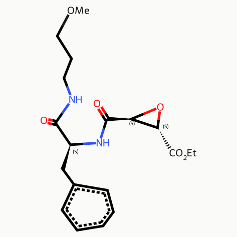 CCOC(=O)[C@H]1O[C@@H]1C(=O)N[C@@H](Cc1ccccc1)C(=O)NCCCOC